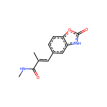 CNC(=O)/C(C)=C/c1ccc2oc(=O)[nH]c2c1